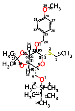 CCS[C@@H]1O[C@H](CO[Si](C)(C)C(C)(C)C)[C@@H]2OC(C)(C)O[C@@H]2[C@H]1OCc1ccc(OC)cc1